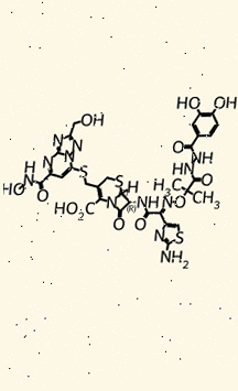 CC(C)(ON=C(C(=O)N[C@@H]1C(=O)N2C(C(=O)O)=C(CSc3cc(C(=O)NO)nc4nc(CO)nn34)CS[C@H]12)c1csc(N)n1)C(=O)NNC(=O)c1ccc(O)c(O)c1